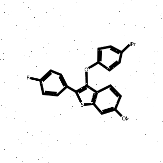 CC(C)c1ccc(Oc2c(-c3ccc(F)cc3)sc3cc(O)ccc23)cc1